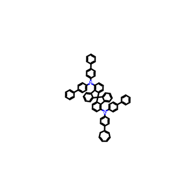 C1=CC=C(c2ccc(N(c3ccc(-c4ccccc4)cc3)c3cccc4c3-c3ccccc3C43c4ccccc4-c4c(N(c5ccc(-c6ccccc6)cc5)c5ccc(-c6ccccc6)cc5)cccc43)cc2)CC=C1